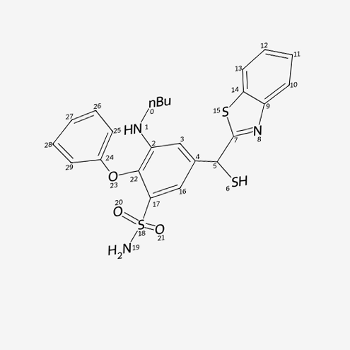 CCCCNc1cc(C(S)c2nc3ccccc3s2)cc(S(N)(=O)=O)c1Oc1ccccc1